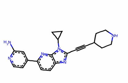 Nc1cc(-c2ccc3nc(C#CC4CCNCC4)n(C4CC4)c3n2)ccn1